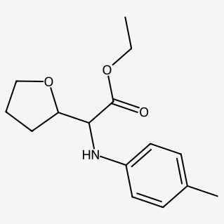 CCOC(=O)C(Nc1ccc(C)cc1)C1CCCO1